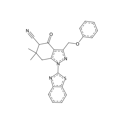 CC1(C)Cc2c(c(COc3ccccc3)nn2-c2nc3ccccc3s2)C(=O)C1C#N